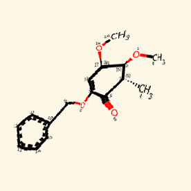 CO[C@H]1[C@H](C)C(=O)C(OCc2ccccc2)=C[C@H]1OC